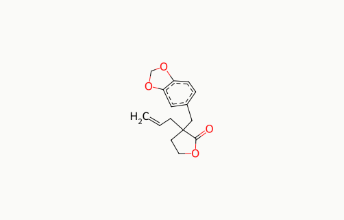 C=CCC1(Cc2ccc3c(c2)OCO3)CCOC1=O